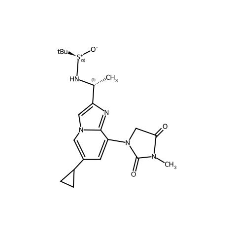 C[C@@H](N[S@+]([O-])C(C)(C)C)c1cn2cc(C3CC3)cc(N3CC(=O)N(C)C3=O)c2n1